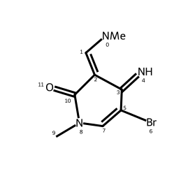 CN/C=C1\C(=N)C(Br)=CN(C)C1=O